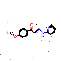 COc1ccc(C(=O)/C=C/Nc2ccccn2)cc1